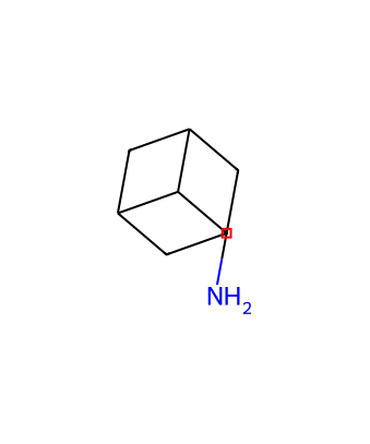 NCC1C2CCCC1C2